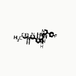 CC(C)CC(=O)Nc1cncc(-c2ccc3[nH]nc(-c4nc5c(-c6ccc(F)cc6)ccnc5[nH]4)c3n2)c1